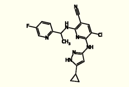 CC(Nc1nc(Nc2cc(C3CC3)[nH]n2)c(Cl)cc1C#N)c1ccc(F)cn1